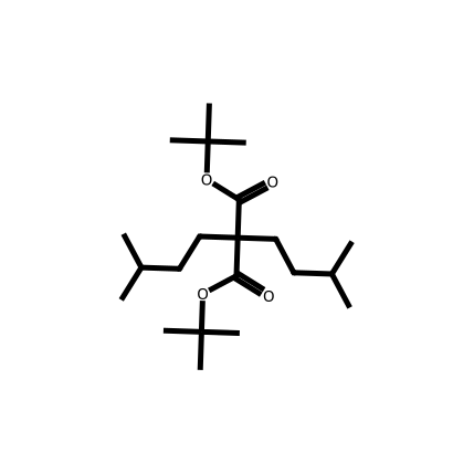 CC(C)CCC(CCC(C)C)(C(=O)OC(C)(C)C)C(=O)OC(C)(C)C